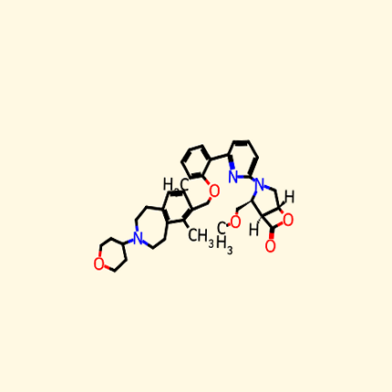 COC[C@@H]1[C@@H]2C(=O)O[C@H]2CN1c1cccc(-c2cccc(C)c2OCc2ccc3c(c2C)CCN(C2CCOCC2)CC3)n1